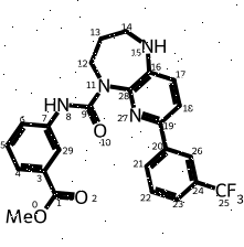 COC(=O)c1cccc(NC(=O)N2CCCNc3ccc(-c4cccc(C(F)(F)F)c4)nc32)c1